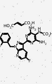 Nc1nc(-c2nn(Cc3ccccc3F)c3ncc(F)cc23)nc(N)c1NC(=O)O.O=C(O)C=CC(=O)O